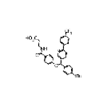 CC(C)(C)c1ccc(C(Oc2ccc(C(=O)NCCC(=O)O)cc2)c2ccc(-c3ccc(C(F)(F)F)cc3)nc2)cc1